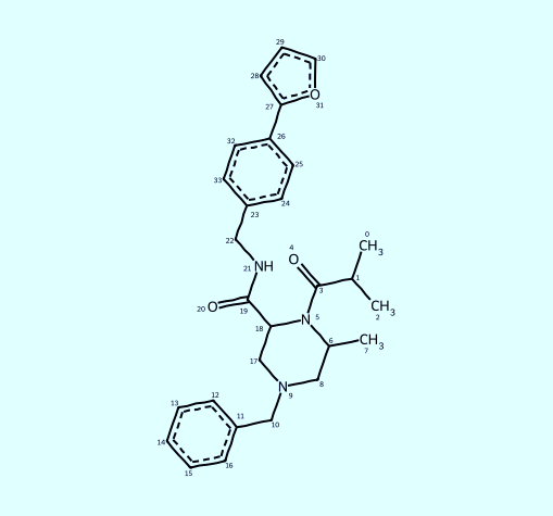 CC(C)C(=O)N1C(C)CN(Cc2ccccc2)CC1C(=O)NCc1ccc(-c2ccco2)cc1